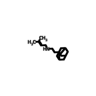 CC(C)=CCNCCC12CC3CC(CC(C3)C1)C2